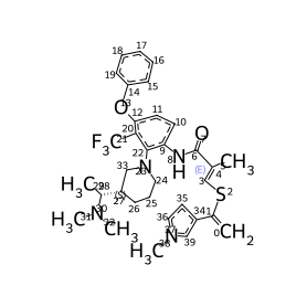 C=C(S/C=C(\C)C(=O)Nc1ccc(Oc2ccccc2)c(C(F)(F)F)c1N1CCC[C@H](C(C)N(C)C)C1)c1ccn(C)c1